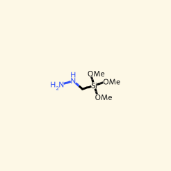 CO[Si](CNN)(OC)OC